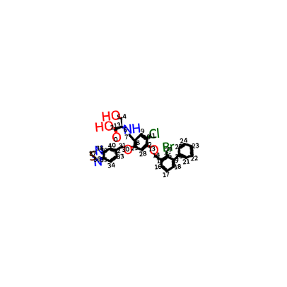 O=C(O)[C@@H](CO)NCc1cc(Cl)c(OCc2cccc(-c3ccccc3)c2Br)cc1OCc1ccc2nsnc2c1